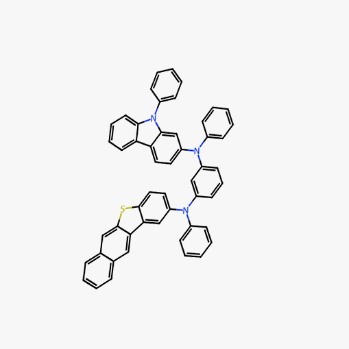 c1ccc(N(c2cccc(N(c3ccccc3)c3ccc4c5ccccc5n(-c5ccccc5)c4c3)c2)c2ccc3sc4cc5ccccc5cc4c3c2)cc1